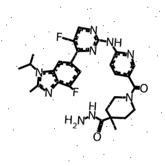 Cc1nc2c(F)cc(-c3nc(Nc4ccc(C(=O)N5CCC(C)(C(=O)NN)CC5)cn4)ncc3F)cc2n1C(C)C